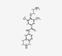 Cc1cc(C(=O)Nc2ccc3c(c2)CCNC3)cc(Cl)c1OCCN